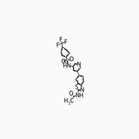 CC(=O)Nc1nc2ccc(-c3cncc(NS(=O)(=O)c4ccc(C(F)(F)F)cc4)c3)cc2s1